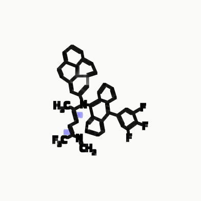 C=N/C(=C\C=C(/C)N(c1cc2ccc3cccc4ccc(c1)c2c34)c1c2ccccc2c(-c2cc(F)c(F)c(F)c2)c2ccccc12)C(F)(F)F